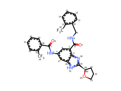 O=C(Nc1cc(C(=O)NCc2ccccc2C(F)(F)F)c2nc([C@H]3CCCO3)[nH]c2c1)c1ccccc1C(F)(F)F